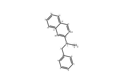 NN(Cc1ccccc1)c1ncc2ccccc2n1